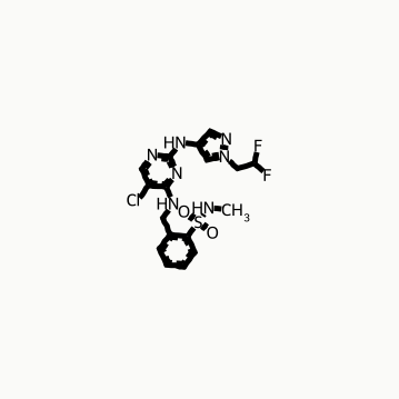 CNS(=O)(=O)c1ccccc1CNc1nc(Nc2cnn(CC(F)F)c2)ncc1Cl